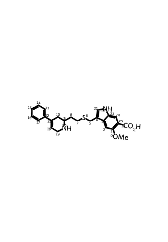 COc1cc2c(CSCCC3CC(c4ccccc4)=CCN3)c[nH]c2cc1C(=O)O